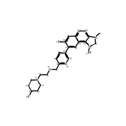 CC(C)N1CN(C)c2nnc3cc(F)c(-c4ccc(COCCN5CCC(F)CC5)nc4)cc3c21